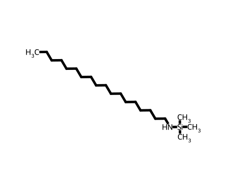 CCCCCCCCCCCCCCCCCCN[Si](C)(C)C